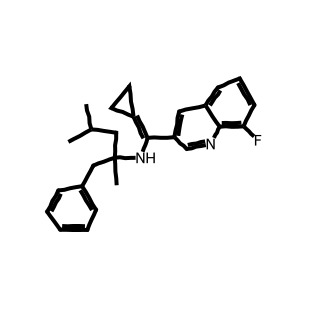 CC(C)CC(C)(Cc1ccccc1)NC(=C1CC1)c1cnc2c(F)cccc2c1